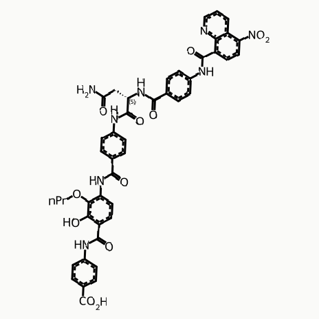 CCCOc1c(NC(=O)c2ccc(NC(=O)[C@H](CC(N)=O)NC(=O)c3ccc(NC(=O)c4ccc([N+](=O)[O-])c5cccnc45)cc3)cc2)ccc(C(=O)Nc2ccc(C(=O)O)cc2)c1O